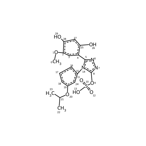 COc1cc(-c2nnc(OS(=O)(=O)O)n2-c2cccc(OC(C)C)c2)c(O)cc1O